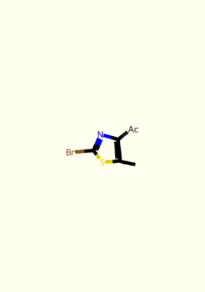 CC(=O)c1nc(Br)sc1C